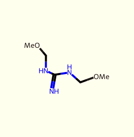 COCNC(=N)NCOC